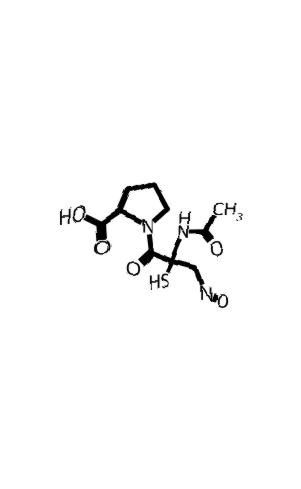 CC(=O)NC(S)(CN=O)C(=O)N1CCCC1C(=O)O